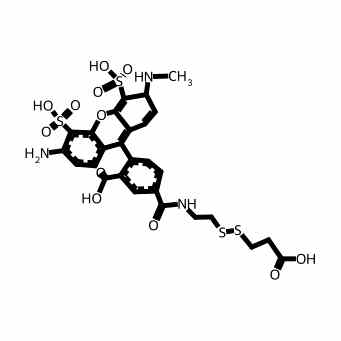 CNC1C=CC2=C(c3ccc(C(=O)NCCSSCCC(=O)O)cc3C(=O)O)c3ccc(N)c(S(=O)(=O)O)c3OC2=C1S(=O)(=O)O